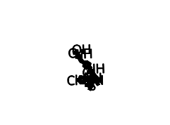 Cc1sc2c(c1C)C(c1ccc(Cl)cc1)=N[C@@H](CC(=O)Nc1ccc(C#CCNC(=O)O)cc1)c1nnc(C)n1-2